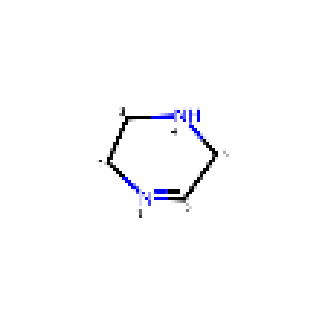 C1=NCCNC1